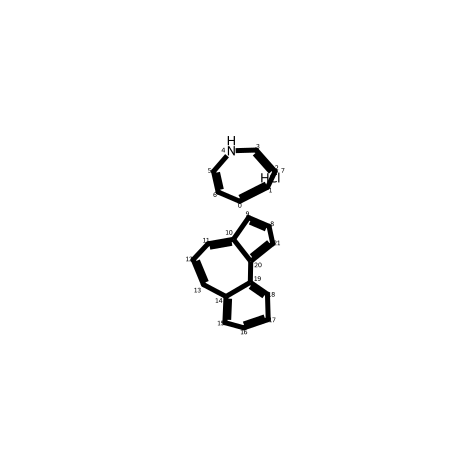 C1=CC=CNC=C1.Cl.c1cc2cccc3ccccc3c-2c1